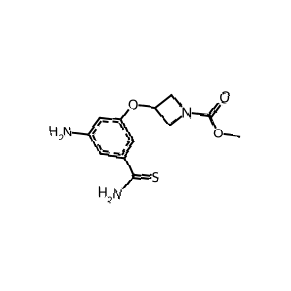 COC(=O)N1CC(Oc2cc(N)cc(C(N)=S)c2)C1